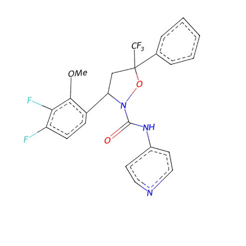 COc1c(C2CC(c3ccccc3)(C(F)(F)F)ON2C(=O)Nc2ccncc2)ccc(F)c1F